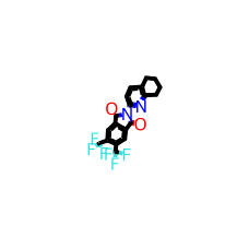 O=C1c2cc(C(F)(F)F)c(C(F)(F)F)cc2C(=O)N1c1ccc2c(n1)CCCC2